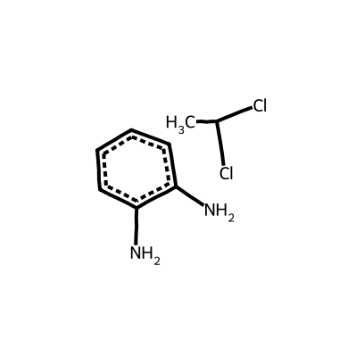 CC(Cl)Cl.Nc1ccccc1N